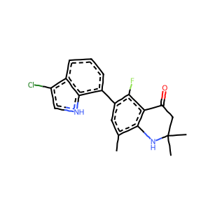 Cc1cc(-c2cccc3c(Cl)c[nH]c23)c(F)c2c1NC(C)(C)CC2=O